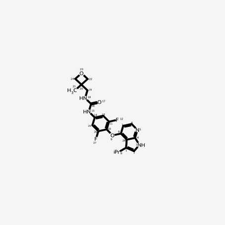 CC(C)c1c[nH]c2nccc(Oc3c(F)cc(NC(=O)NCC4(C)COC4)cc3F)c12